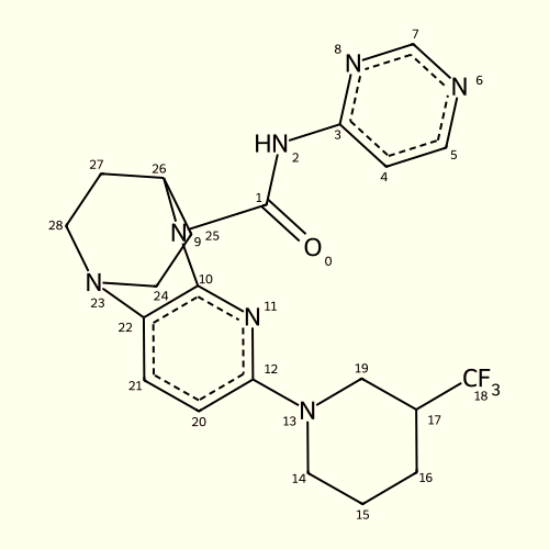 O=C(Nc1ccncn1)N1c2nc(N3CCCC(C(F)(F)F)C3)ccc2N2CCC1CC2